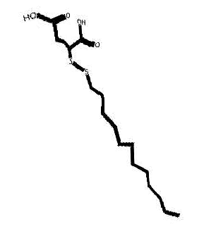 CCCCCCCCCCCCSSC(CC(=O)O)C(=O)O